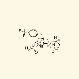 NC(=O)c1cccc([C@H]2C[C@H]3CC[C@@H](C2)N3CCN(Cc2ccc(C(F)(F)F)cc2)C(=O)CO)c1